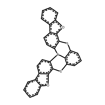 c1cc2c3c(c1)Sc1c(ccc4c1oc1ccccc14)B3c1ccc3c(oc4ccccc43)c1S2